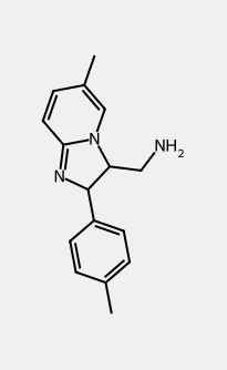 CC1=CN2C(=NC(c3ccc(C)cc3)C2CN)C=C1